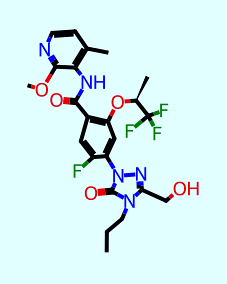 CCCn1c(CO)nn(-c2cc(O[C@@H](C)C(F)(F)F)c(C(=O)Nc3c(C)ccnc3OC)cc2F)c1=O